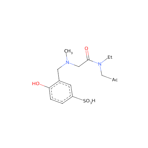 CCN(CC(C)=O)C(=O)CN(C)Cc1cc(S(=O)(=O)O)ccc1O